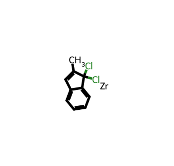 CC1=Cc2ccccc2C1(Cl)Cl.[Zr]